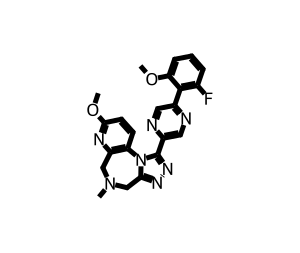 COc1ccc2c(n1)CN(C)Cc1nnc(-c3cnc(-c4c(F)cccc4OC)cn3)n1-2